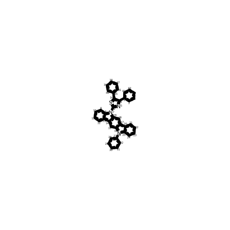 c1ccc(-c2nc(-n3c4ccccc4c4cc5c(cc43)c3ccccc3n5-c3ccccc3)sc2-c2ccccc2)cc1